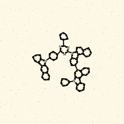 c1ccc(-c2nc(-c3ccc(-n4c5ccccc5c5cc6ccccc6cc54)cc3)nc(-n3c4ccc(-c5cc6c(c7ccccc57)c5ccccc5n6-c5ccccc5)cc4c4c5ccccc5ccc43)n2)cc1